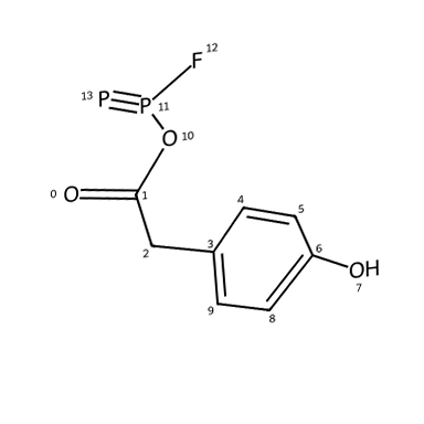 O=C(Cc1ccc(O)cc1)OP(F)#P